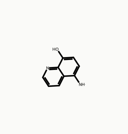 [NH]c1ccc(O)c2ncccc12